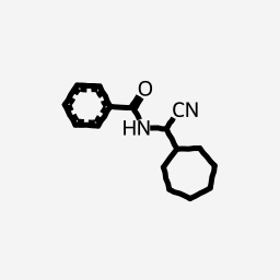 N#CC(NC(=O)c1ccccc1)C1CCCCCC1